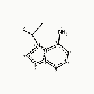 CC(C)n1cnc2cccc(N)c21